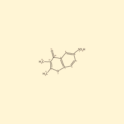 Cc1oc2ccc(S(=O)(=O)O)cc2c(=O)c1C